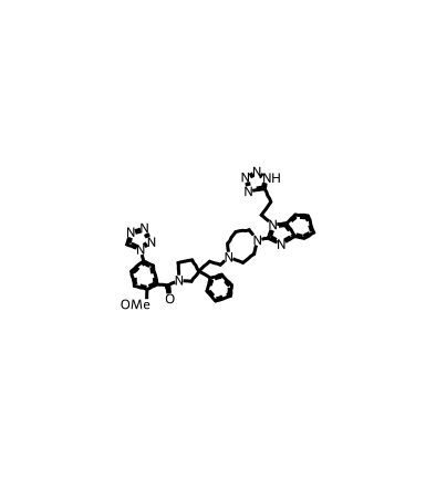 COc1ccc(-n2cnnn2)cc1C(=O)N1CCC(CCN2CCCN(c3nc4ccccc4n3CCc3nnn[nH]3)CC2)(c2ccccc2)C1